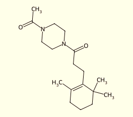 CC(=O)N1CCN(C(=O)CCC2=C(C)CCCC2(C)C)CC1